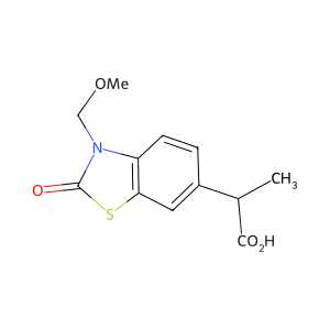 COCn1c(=O)sc2cc(C(C)C(=O)O)ccc21